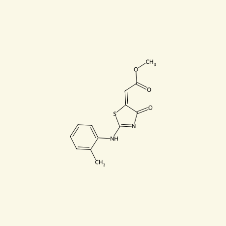 COC(=O)C=C1SC(Nc2ccccc2C)=NC1=O